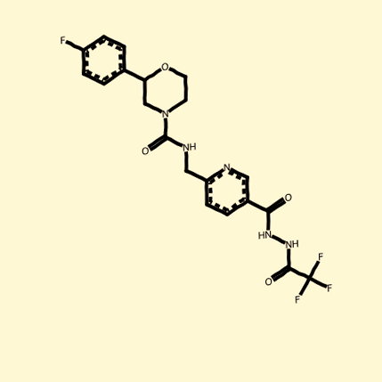 O=C(NNC(=O)C(F)(F)F)c1ccc(CNC(=O)N2CCOC(c3ccc(F)cc3)C2)nc1